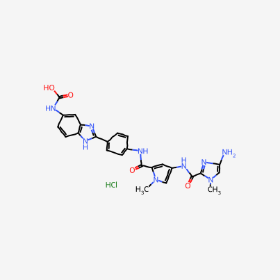 Cl.Cn1cc(NC(=O)c2nc(N)cn2C)cc1C(=O)Nc1ccc(-c2nc3cc(NC(=O)O)ccc3[nH]2)cc1